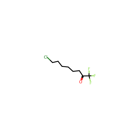 O=C(CCCCCCCl)C(F)(F)F